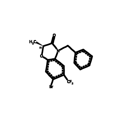 C[C@H]1Oc2cc(Br)c(C(F)(F)F)cc2N(Cc2ccccc2)C1=O